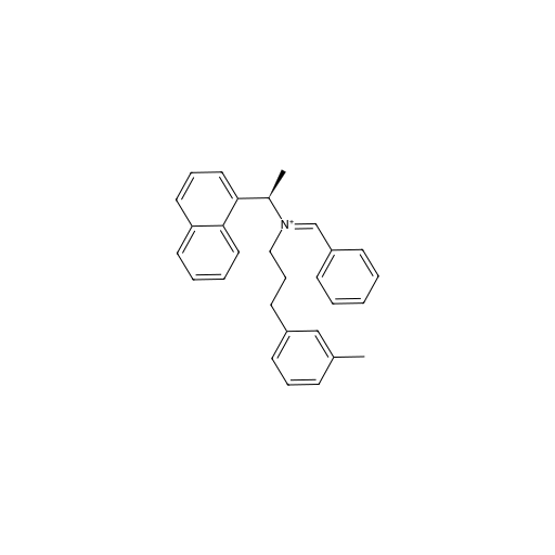 Cc1cccc(CCC/[N+](=C\c2ccccc2)[C@H](C)c2cccc3ccccc23)c1